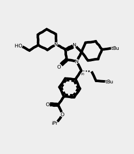 CC(C)OC(=O)c1ccc([C@@H](CCC(C)(C)C)N2C(=O)C(N3CCCC(CO)C3)=NC23CCC(C(C)(C)C)CC3)cc1